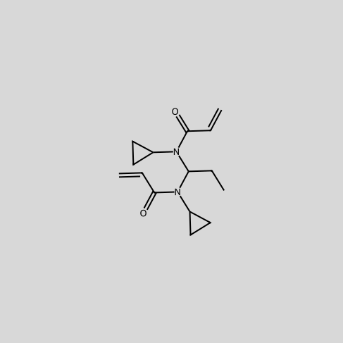 C=CC(=O)N(C1CC1)C(CC)N(C(=O)C=C)C1CC1